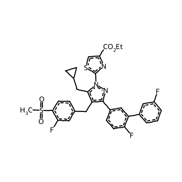 CCOC(=O)c1csc(-n2nc(-c3ccc(F)c(-c4cccc(F)c4)c3)c(Cc3ccc(S(C)(=O)=O)c(F)c3)c2CC2CC2)n1